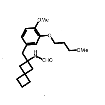 COCCCOc1cc(CC2(NC=O)CC3(CCC3)C2)ccc1OC